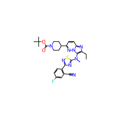 CCc1nc2ccc(C3CCN(C(=O)OC(C)(C)C)CC3)nn2c1N(C)c1nc(-c2ccc(F)cc2C#N)ns1